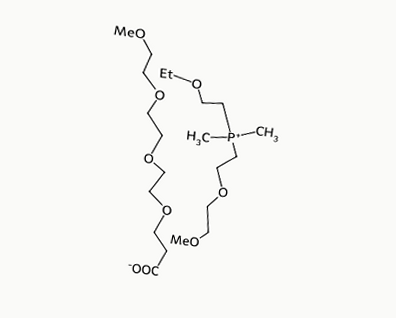 CCOCC[P+](C)(C)CCOCCOC.COCCOCCOCCOCCC(=O)[O-]